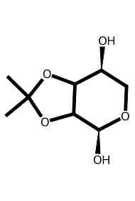 CC1(C)OC2C(O1)[C@@H](O)CO[C@H]2O